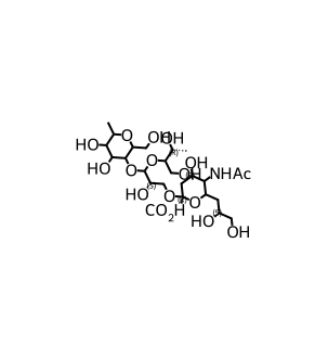 CC(=O)NC1C(C[C@H](O)CO)O[C@@](OC[C@H](O)C(OC2C(CO)OC(C)C(O)C2O)OC(CO)[C@@H](C)O)(C(=O)O)C[C@H]1O